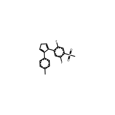 Cc1ccc(C2=CCC=C2c2cc(F)c(S(C)(=O)=O)cc2F)cc1